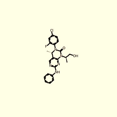 C[C@H](CO)N1C(=O)N(c2ccc(Cl)cc2F)[C@@H](C)c2cnc(Nc3ccccc3)nc21